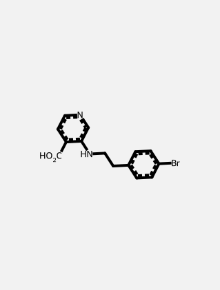 O=C(O)c1ccncc1NCCc1ccc(Br)cc1